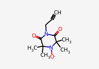 C#CCN1C(=O)C(C)(C)N([O])C(C)(C)C1=O